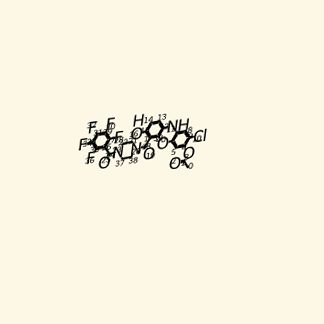 CC(=O)Oc1cc2c(cc1Cl)Nc1ccc(O)c(C(=O)N3CCN(C(=O)c4c(F)c(F)c(F)c(F)c4F)CC3)c1O2